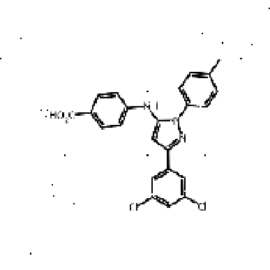 Cc1ccc(-n2nc(-c3cc(Cl)cc(Cl)c3)cc2Nc2ccc(C(=O)O)cc2)cc1